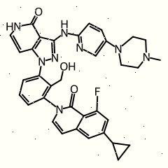 CN1CCN(c2ccc(Nc3nn(-c4cccc(-n5ccc6cc(C7CC7)cc(F)c6c5=O)c4CO)c4cc[nH]c(=O)c34)nc2)CC1